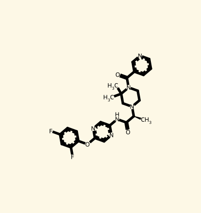 C[C@@H](C(=O)Nc1cnc(Oc2ccc(F)cc2F)cn1)N1CCN(C(=O)c2cccnc2)C(C)(C)C1